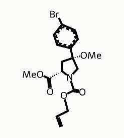 C=CCOC(=O)N1C[C@](OC)(c2ccc(Br)cc2)C[C@H]1C(=O)OC